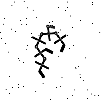 C=C[Si](C)(C)O[Si](C)(C=C)O[Si](C)(C)O[Si](C)(OC)O[Si](C)(C)C=C